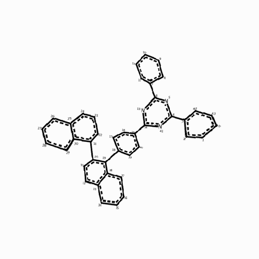 c1ccc(-c2nc(-c3ccccc3)nc(-c3ccc(-c4c(-c5cccc6ccccc56)ccc5ccccc45)cc3)n2)cc1